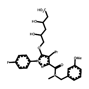 COc1cccc(CN(C)C(=O)c2nn(-c3ccc(F)cc3)c(OCC(O)CC(O)CC(=O)O)c2C(C)C)c1